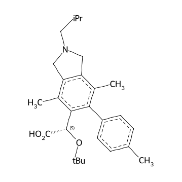 Cc1ccc(-c2c(C)c3c(c(C)c2[C@H](OC(C)(C)C)C(=O)O)CN(CC(C)C)C3)cc1